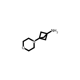 NC12CC(N3CCOCC3)(C1)C2